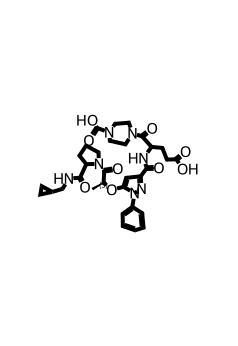 C[C@H](Oc1cc(C(=O)NC(CCC(=O)O)C(=O)N2CCN(C(=O)O)CC2)nn1-c1ccccc1)C(=O)N1CCCC1C(=O)NCC1CC1